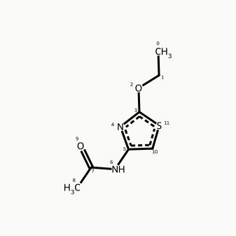 CCOc1nc(NC(C)=O)cs1